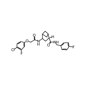 O=C(COc1ccc(Cl)c(F)c1)NC1C[C@@H](C(=O)NCc2ccc(F)cc2)C2CC1C2